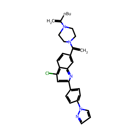 C=C(CCCC)N1CCN(C(=C)c2ccc3c(Cl)cc(-c4ccc(-n5cccn5)cc4)nc3c2)CC1